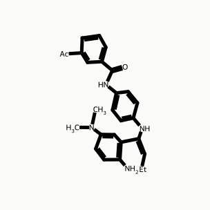 CC/C=C(/Nc1ccc(NC(=O)c2cccc(C(C)=O)c2)cc1)c1cc(N(C)C)ccc1N